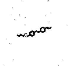 CC=CCOCc1ccc(CCC2CCC(/C=C/C)CC2)cc1